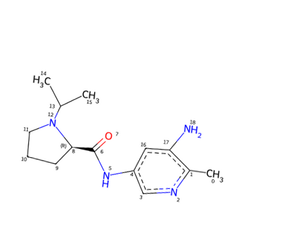 Cc1ncc(NC(=O)[C@H]2CCCN2C(C)C)cc1N